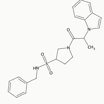 CC(C(=O)N1CCC(S(=O)(=O)NCc2ccccc2)C1)n1ccc2ccccc21